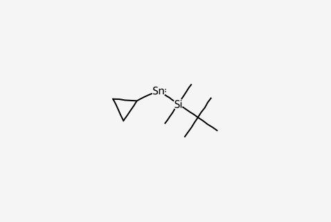 CC(C)(C)[Si](C)(C)[Sn][CH]1CC1